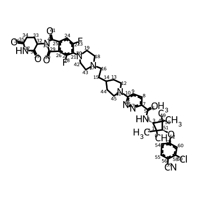 CC1(C)[C@H](NC(=O)c2ccc(N3CCC(CCN4CCN(c5c(F)cc6c(c5F)C(=O)N(C5CCC(=O)NC5=O)C6=O)CC4)CC3)nn2)C(C)(C)[C@H]1Oc1ccc(C#N)c(Cl)c1